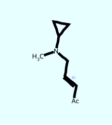 CC(=O)/C=C/CN(C)C1CC1